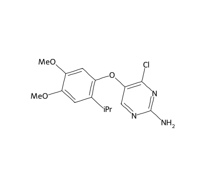 COc1cc(Oc2cnc(N)nc2Cl)c(C(C)C)cc1OC